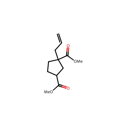 C=CCC1(C(=O)OC)CCC(C(=O)OC)C1